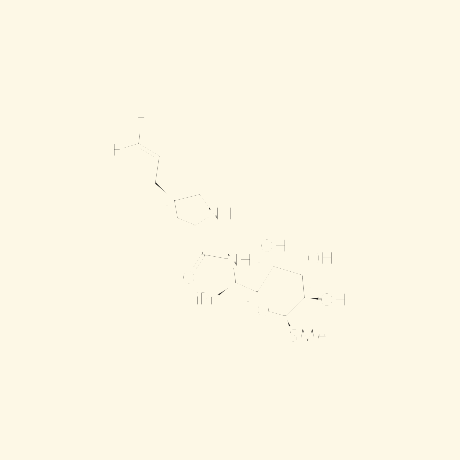 CS[C@H]1O[C@H]([C@H](NC(=O)[C@@H]2C[C@@H](CC=C(F)F)CN2)C(C)C)[C@H](O)[C@H](O)[C@H]1O